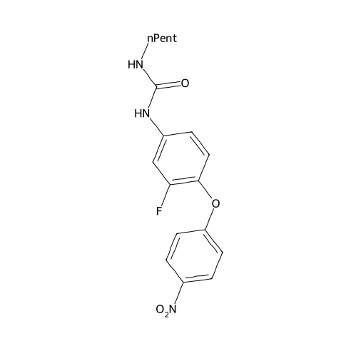 CCCCCNC(=O)Nc1ccc(Oc2ccc([N+](=O)[O-])cc2)c(F)c1